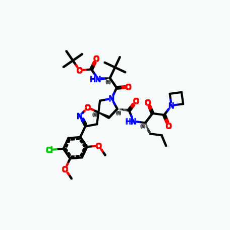 CCC[C@H](NC(=O)[C@@H]1C[C@]2(CC(c3cc(Cl)c(OC)cc3OC)=NO2)CN1C(=O)[C@@H](NC(=O)OC(C)(C)C)C(C)(C)C)C(=O)C(=O)N1CCC1